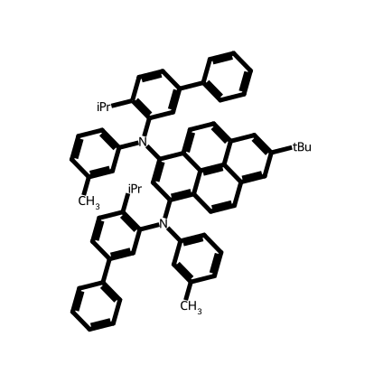 Cc1cccc(N(c2cc(-c3ccccc3)ccc2C(C)C)c2cc(N(c3cccc(C)c3)c3cc(-c4ccccc4)ccc3C(C)C)c3ccc4cc(C(C)(C)C)cc5ccc2c3c54)c1